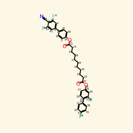 N#Cc1c(F)cc(-c2ccc(OC(=O)CCCCCCCCCC(=O)Oc3ccc(-c4ccc(F)cc4)c(F)c3)cc2)cc1F